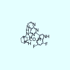 O=C(O)[C@@H]1C2CCC(CC2)[C@H]1Nc1nc(-c2c[nH]c3c(F)cc(F)cc23)nc2nccnc12